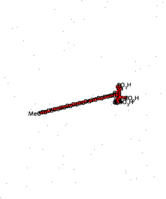 CCCCN1C(=CC=CC=CC2=[N+](CCCCCC(=O)NCCOCCOCCOCCOCCOCCOCCOCCOCCOCCOCCOCCOCCOCCOCCOCCOCCOCCOCCOCCOCCOCCOCCOCCOC)c3ccc(S(=O)(=O)O)cc3C2(C)C)C(C)(CCCCCC(=O)O)c2c1ccc1c(S(=O)(=O)[O-])cc(S(=O)(=O)O)cc21